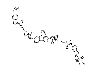 CC1c2cc(NC(=O)NCCCOC(=O)Nc3ccc(CC#N)cc3)ccc2-c2ccc(NC(=O)NCCCOC(=O)Nc3ccc(CNC(=O)Nc4ccccc4)cc3)cc21